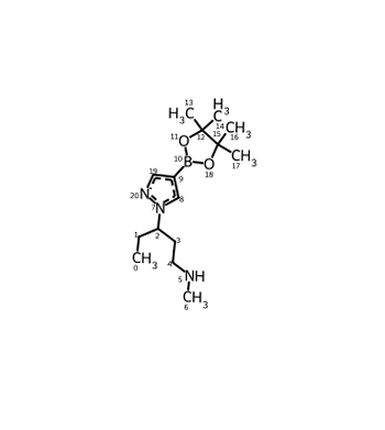 CCC(CCNC)n1cc(B2OC(C)(C)C(C)(C)O2)cn1